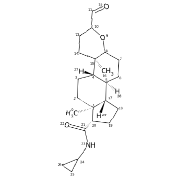 C[C@]12CC[C@H]3[C@@H](CCC4OC(C=O)CC[C@@]43C)[C@@H]1CC[C@@H]2C(=O)NC1CC1